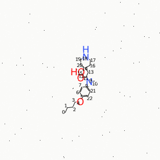 CCCCOc1ccc(N(C)C(=O)CC2(O)CCNCC2)cc1